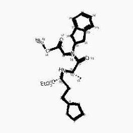 CCOC(=O)[C@@H](CCC1CCCC1)N[C@@H](C)C(=O)N(CC(=O)OC(C)(C)C)C1Cc2ccccc2C1